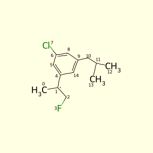 C[C](CF)c1cc(Cl)cc(CC(C)C)c1